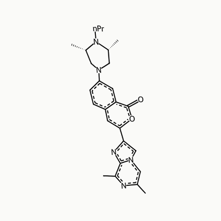 CCCN1[C@H](C)CN(c2ccc3cc(-c4cn5cc(C)nc(C)c5n4)oc(=O)c3c2)C[C@@H]1C